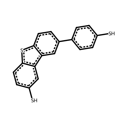 Sc1ccc(-c2ccc3sc4ccc(S)cc4c3c2)cc1